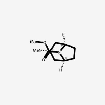 CN[C@@H]1C[C@H]2CC[C@@H](C1)N2C(=O)OC(C)(C)C